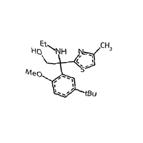 CCNC(CO)(c1nc(C)cs1)c1cc(C(C)(C)C)ccc1OC